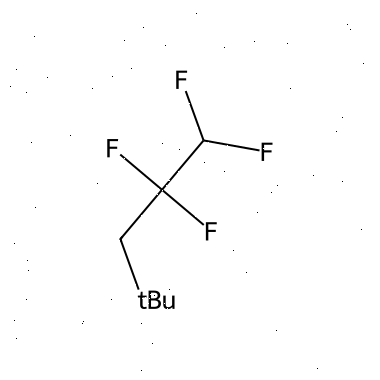 CC(C)(C)CC(F)(F)C(F)F